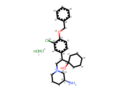 Cl.Cl.N[C@H]1CCCN(CC(c2ccc(OCc3ccccc3)c(Cl)c2)C2(O)CCCCC2)C1